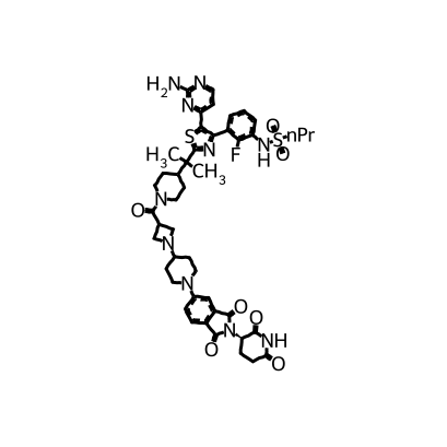 CCCS(=O)(=O)Nc1cccc(-c2nc(C(C)(C)C3CCN(C(=O)C4CN(C5CCN(c6ccc7c(c6)C(=O)N([C@@H]6CCC(=O)NC6=O)C7=O)CC5)C4)CC3)sc2-c2ccnc(N)n2)c1F